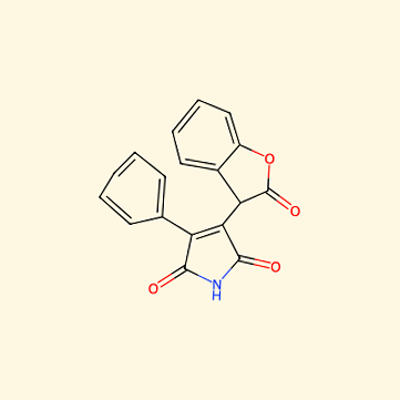 O=C1NC(=O)C(C2C(=O)Oc3ccccc32)=C1c1ccccc1